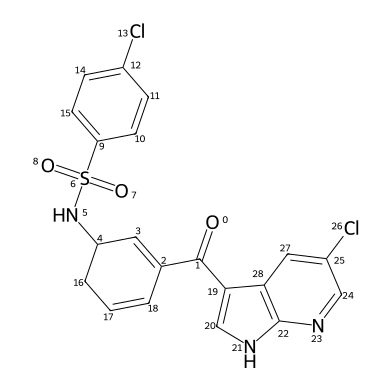 O=C(C1=CC(NS(=O)(=O)c2ccc(Cl)cc2)CC=C1)c1c[nH]c2ncc(Cl)cc12